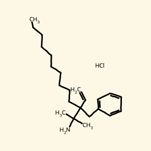 C=CC(CCCCCCCCCC)(Cc1ccccc1)C(C)(C)N.Cl